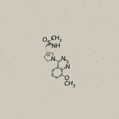 COc1cccc2c(N3CC[C@H](C[S@@](C)(=N)=O)C3)ncnc12